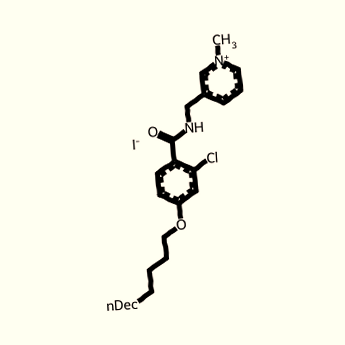 CCCCCCCCCCCCCCOc1ccc(C(=O)NCc2ccc[n+](C)c2)c(Cl)c1.[I-]